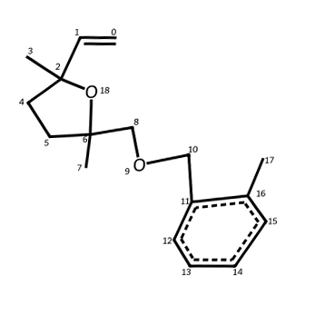 C=CC1(C)CCC(C)(COCc2ccccc2C)O1